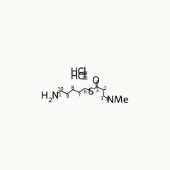 CNCCC(=O)SCCCCCN.Cl.Cl